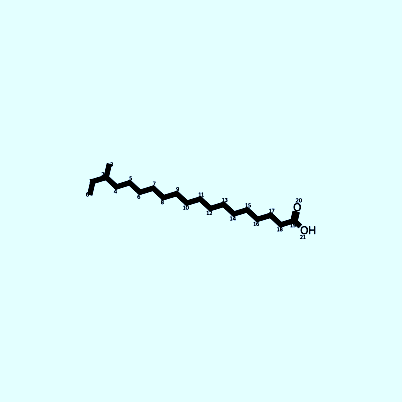 CCC(C)CCCCCCCCCCCCCCCC(=O)O